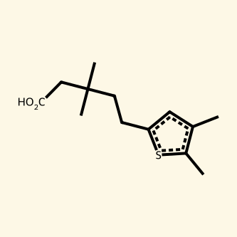 Cc1cc(CCC(C)(C)CC(=O)O)sc1C